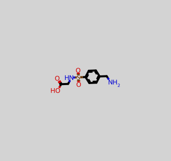 NCc1ccc(S(=O)(=O)NCC(=O)O)cc1